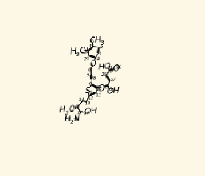 Cc1ccc(OCC#Cc2ccc(CC[C@@H](C)C(N)O)s2)cc1C.O=C(O)C=CC(=O)O